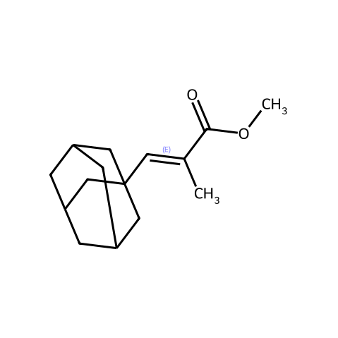 COC(=O)/C(C)=C/C12CC3CC(CC(C3)C1)C2